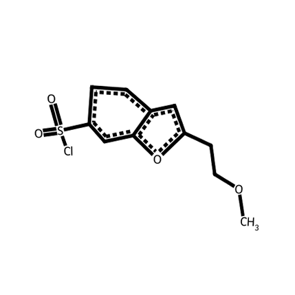 COCCc1cc2ccc(S(=O)(=O)Cl)cc2o1